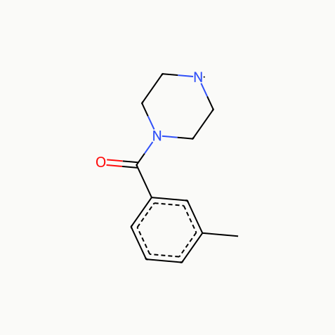 Cc1cccc(C(=O)N2CC[N]CC2)c1